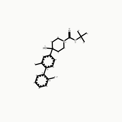 Cc1cc(C2(O)CCN(C(=O)OC(C)(C)C)CC2)ccc1-c1ccccc1F